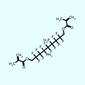 C=C(C)C(=O)OCC(F)(F)C(F)(F)C(F)(P)C(F)(F)[C@](F)(P)C(F)(F)C(F)(F)COC(=O)C(=C)C